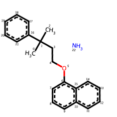 CC(C)(CCOc1cccc2ccccc12)c1ccccc1.N